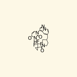 O=C(N1CCC(Cc2ccn3ncc(-n4ccc(=O)[nH]c4=O)c3c2)CC1)C1(C(F)(F)F)CC1